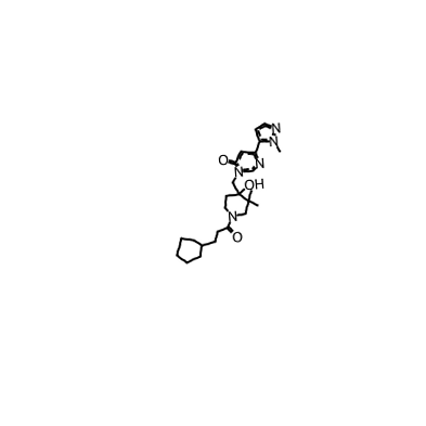 Cn1nccc1-c1cc(=O)n(CC2(O)CCN(C(=O)CCC3CCCCC3)CC2(C)C)cn1